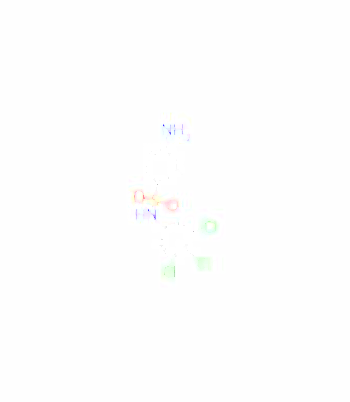 Nc1ccc(S(=O)(=O)Nc2cc(Cl)c(Cl)c(Cl)c2)cc1